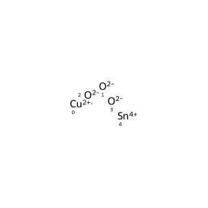 [Cu+2].[O-2].[O-2].[O-2].[Sn+4]